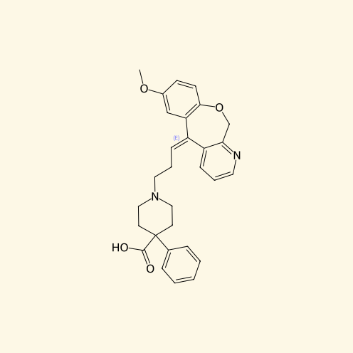 COc1ccc2c(c1)/C(=C/CCN1CCC(C(=O)O)(c3ccccc3)CC1)c1cccnc1CO2